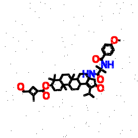 COc1ccc(C(=O)NC(C)(C)C(=O)NC23CCC4C(CCC5C4(C)CCC4C(C)(C)C(OC(=O)C6CC(C=O)C6C)CCC45C)C2=C(C(C)C)C(=O)C3)cc1